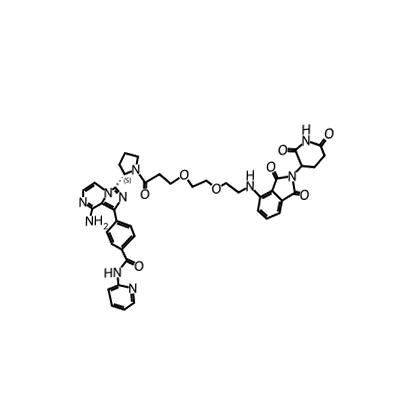 Nc1nccn2c([C@@H]3CCCN3C(=O)CCOCCOCCNc3cccc4c3C(=O)N(C3CCC(=O)NC3=O)C4=O)nc(-c3ccc(C(=O)Nc4ccccn4)cc3)c12